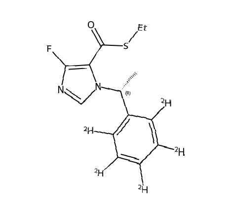 [2H]c1c([2H])c([2H])c([C@@H](C)n2cnc(F)c2C(=O)SCC)c([2H])c1[2H]